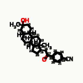 C[C@@]1(O)CC[C@H]2[C@H](CC[C@@H]3[C@@H]2CC[C@]2(C)[C@@H](CC(=O)c4ccc(C#N)cc4)CC[C@@H]32)C1